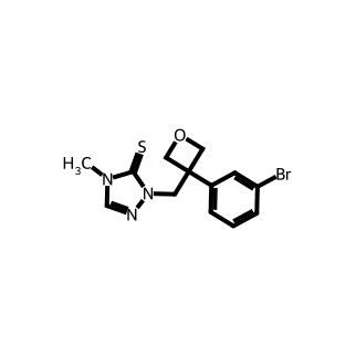 Cn1cnn(CC2(c3cccc(Br)c3)COC2)c1=S